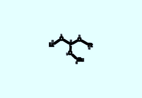 CCOP(OCC)OC(C)(C)C